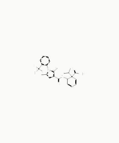 Cc1cc(C(=O)NC2C=CC=CC2(C(=O)O)C(C)C)c(C)n1-c1ccccc1C(F)(F)F